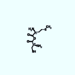 CSCC[C@H](N)C(=O)OC(=O)[C@@H](N)CS